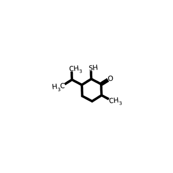 CC1CCC(C(C)C)C(S)C1=O